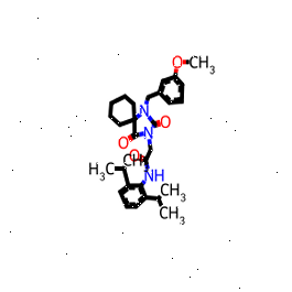 COc1cccc(CN2C(=O)N(CC(=O)Nc3c(C(C)C)cccc3C(C)C)C(=O)C23CCCCC3)c1